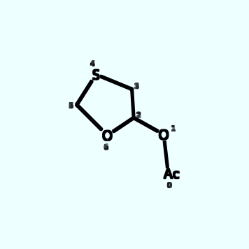 CC(=O)OC1CSCO1